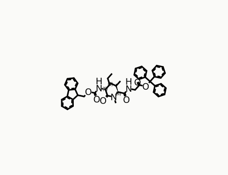 CC[C@H](C)[C@H](NC(=O)OCC1c2ccccc2-c2ccccc21)C(=O)N(C)[C@H](C(=O)NCC(=O)OC(c1ccccc1)(c1ccccc1)c1ccccc1)C(C)C